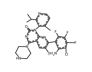 Cc1ccnc(C(C)C)c1-n1c(=O)nc(N2CCNCC2)c2cc(F)c(-c3c(N)c(Cl)c(F)c(F)c3F)nc21